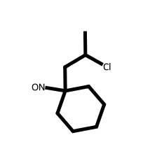 CC(Cl)CC1(N=O)CCCCC1